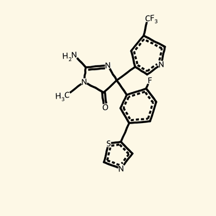 CN1C(=O)C(c2cncc(C(F)(F)F)c2)(c2cc(-c3cncs3)ccc2F)N=C1N